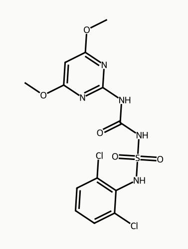 COc1cc(OC)nc(NC(=O)NS(=O)(=O)Nc2c(Cl)cccc2Cl)n1